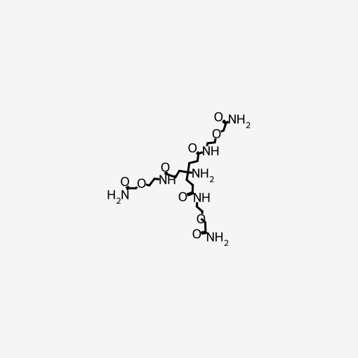 NC(=O)COCCNC(=O)CCC(N)(CCC(=O)NCCOCC(N)=O)CCC(=O)NCCOCC(N)=O